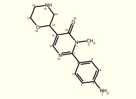 Cn1c(-c2ccc(N)cc2)ncc(C2CNCCO2)c1=O